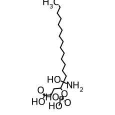 CCCCCCCCCCCCCCC(N)(O)C(CCC(=O)O)OP(=O)(O)O